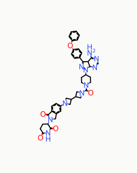 NC1=NC=NC2C1C(c1ccc(Oc3ccccc3)cc1)=NN2C1CCN(C(=O)N2CC(C3CN(c4ccc5c(c4)CN([C@@H]4CCC(=O)NC4=O)C5=O)C3)C2)CC1